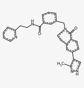 Cc1n[nH]cc1-c1ccc2c(=O)n(Cc3cccc(C(=O)NCCc4ccccn4)c3)ccc2c1